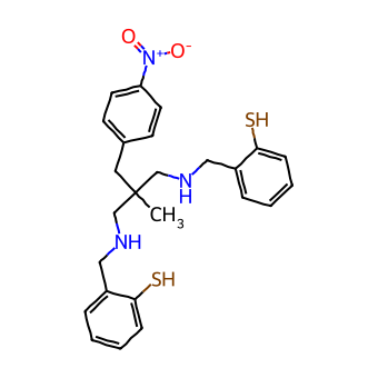 CC(CNCc1ccccc1S)(CNCc1ccccc1S)Cc1ccc([N+](=O)[O-])cc1